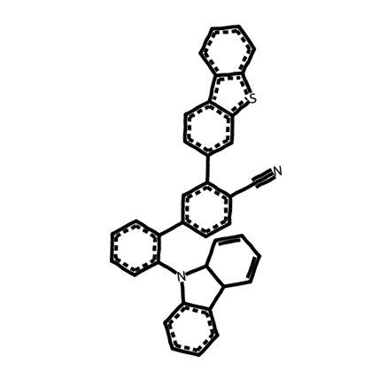 N#Cc1ccc(-c2ccccc2N2c3ccccc3C3C=CC=CC32)cc1-c1ccc2c(c1)sc1ccccc12